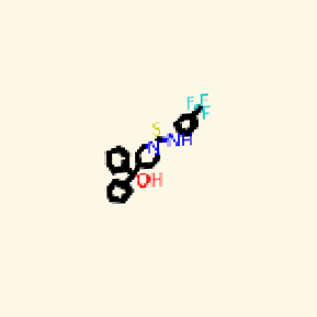 OC(c1ccccc1)(c1ccccc1)C1CCN(C(=S)Nc2ccc(C(F)(F)F)cc2)CC1